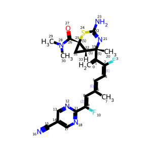 C=C(\C(F)=C/C=C(C)/C=C(\F)c1ncc(C#N)cn1)[C@@]1(C)N=C(N)S[C@@]2(C(=O)N(C)C)C[C@@H]12